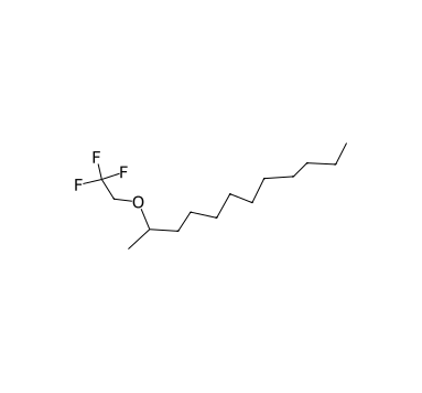 CCCCCCCCCCC(C)OCC(F)(F)F